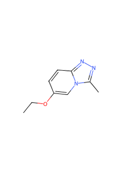 CCOc1ccc2nnc(C)n2c1